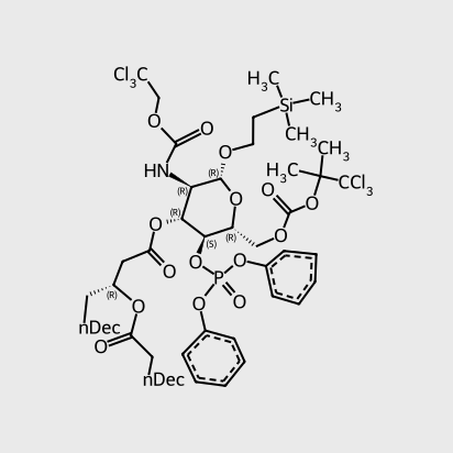 CCCCCCCCCCCC(=O)O[C@H](CCCCCCCCCCC)CC(=O)O[C@@H]1[C@@H](NC(=O)OCC(Cl)(Cl)Cl)[C@H](OCC[Si](C)(C)C)O[C@H](COC(=O)OC(C)(C)C(Cl)(Cl)Cl)[C@H]1OP(=O)(Oc1ccccc1)Oc1ccccc1